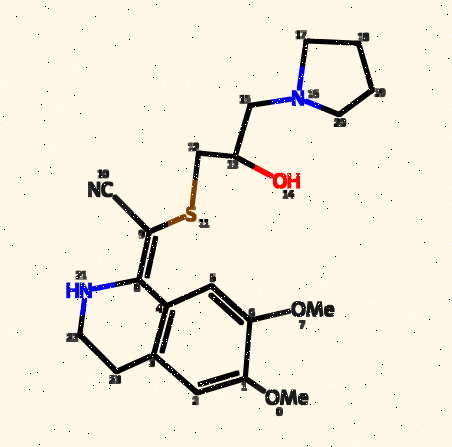 COc1cc2c(cc1OC)C(=C(C#N)SCC(O)CN1CCCC1)NCC2